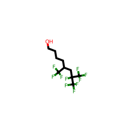 OCCCCC(CC(F)(C(F)(F)F)C(F)(F)F)C(F)(F)F